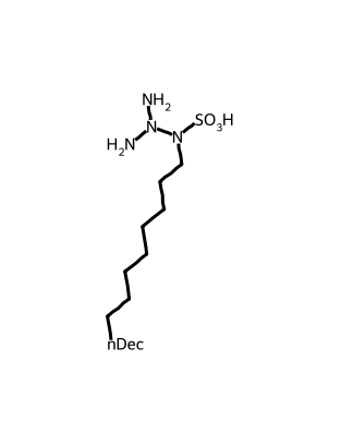 CCCCCCCCCCCCCCCCCCN(N(N)N)S(=O)(=O)O